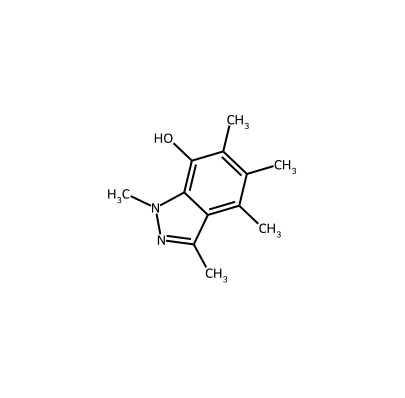 Cc1c(C)c(O)c2c(c(C)nn2C)c1C